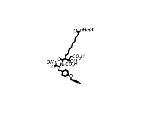 CC#CCOc1ccc(C[C@H](NC(=O)[C@@H](C=CCCCCCCC(=O)CCCCCCC)[C@@](O)(CC(=O)O)C(=O)O)C(=O)OC)cc1